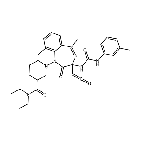 CCN(CC)C(=O)C1CCCN(N2C(=O)C(C=C=O)(NC(=O)Nc3cccc(C)c3)N=C(C)c3cccc(C)c32)C1